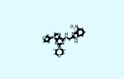 O=[N+]([O-])c1cccc2[nH]c(CNc3nc(N4CCOCC4)nc4c3ncn4-c3ccoc3)nc12